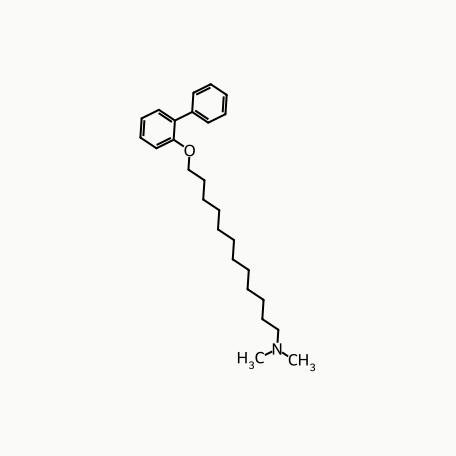 CN(C)CCCCCCCCCCCCOc1ccccc1-c1ccccc1